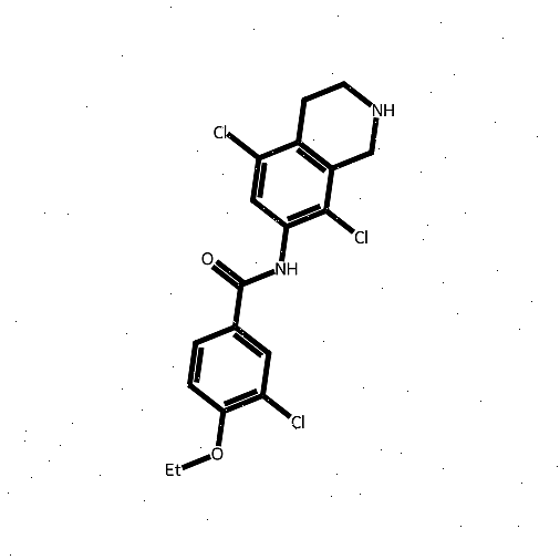 CCOc1ccc(C(=O)Nc2cc(Cl)c3c(c2Cl)CNCC3)cc1Cl